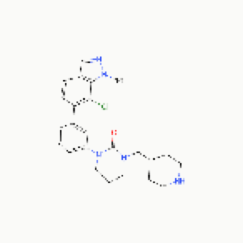 CCn1ncc2ccc(-c3cccc(N4CCCN(CC5CCNCC5)C4=O)c3)c(Cl)c21